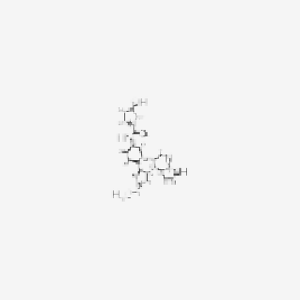 CCn1cc(-c2ccnc3[nH]ccc23)c(-c2ccc(NC(=O)N3CCC(O)C3)cc2)n1